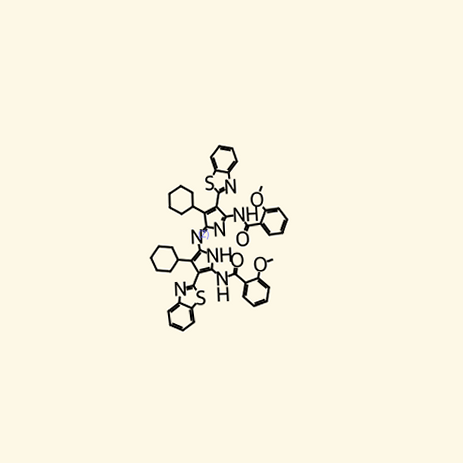 COc1ccccc1C(=O)NC1=N/C(=N\c2[nH]c(NC(=O)c3ccccc3OC)c(-c3nc4ccccc4s3)c2C2CCCCC2)C(C2CCCCC2)=C1c1nc2ccccc2s1